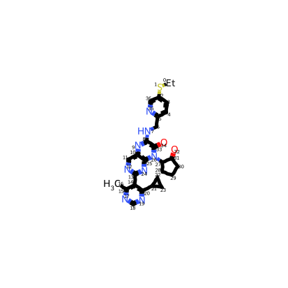 CCSc1ccc(CNc2nc3cnc(-c4c(C)ncnc4C4CC4)nc3n(C3CCCC3=O)c2=O)nc1